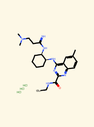 Cc1ccc2nc(C(=O)NCC(C)(C)C)nc(N[C@H]3CCCC[C@H]3NC(=N)CCN(C)C)c2c1.Cl.Cl.Cl